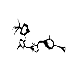 Cc1ncc(Oc2cccc(C(F)(F)F)c2)c(C2=NOCC(Cc3ccc(C4CC4)cc3C)N2)n1